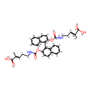 C/C(=C\CCNC(=O)Oc1ccc2ccccc2c1-c1c(OC(=O)NCC/C=C(\C)C(=O)O)ccc2ccccc12)C(=O)O